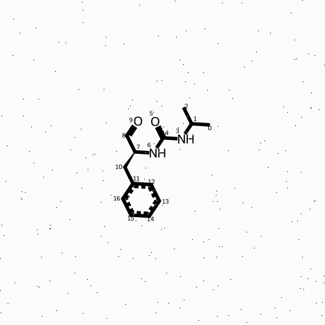 CC(C)NC(=O)N[C@H](C=O)Cc1ccccc1